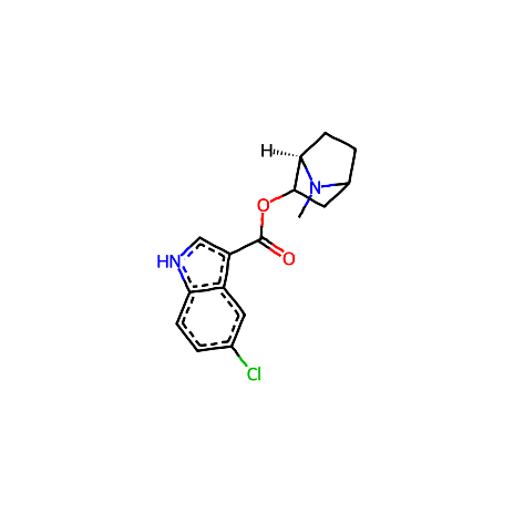 CN1C2CC[C@@H]1C(OC(=O)c1c[nH]c3ccc(Cl)cc13)C2